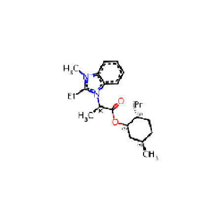 CCc1n([C@H](C)C(=O)O[C@@H]2C[C@H](C)CC[C@H]2C(C)C)c2ccccc2[n+]1C